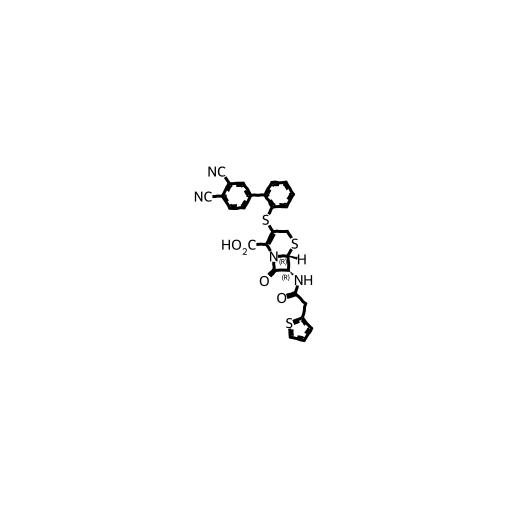 N#Cc1ccc(-c2ccccc2SC2=C(C(=O)O)N3C(=O)[C@@H](NC(=O)Cc4cccs4)[C@H]3SC2)cc1C#N